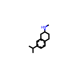 CNC1CCc2ccc(C(C)C)cc2C1